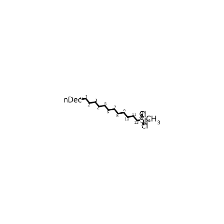 CCCCCCCCCCCCCCCCCCCCCC[Si](C)(Cl)Cl